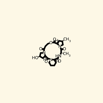 C[C@@H]1C[C@H]2C(=O)OCCC(=O)N3C[C@H](O)C[C@H]3C(=O)N3CCCC[C@H]3C(=O)N[C@@H](C)C(=O)N2C1